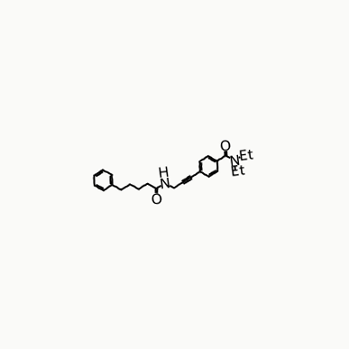 CCN(CC)C(=O)c1ccc(C#CCNC(=O)CCCCc2ccccc2)cc1